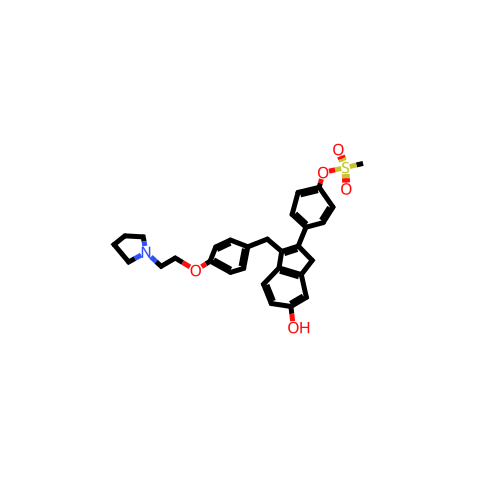 CS(=O)(=O)Oc1ccc(C2=C(Cc3ccc(OCCN4CCCC4)cc3)c3ccc(O)cc3C2)cc1